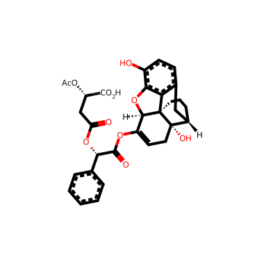 CC(=O)O[C@@H](CC(=O)O[C@H](C(=O)OC1=CC[C@]2(O)[C@H]3CCC[C@]24c2c(ccc(O)c2O[C@H]14)C3)c1ccccc1)C(=O)O